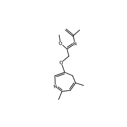 C=C(C)/N=C(/COC1=CN=C(C)C=C(C)C1)OC